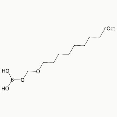 CCCCCCCCCCCCCCCCOCOB(O)O